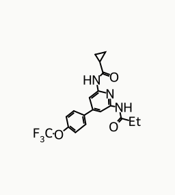 CCC(=O)Nc1cc(-c2ccc(OC(F)(F)F)cc2)cc(NC(=O)C2CC2)n1